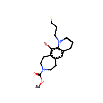 CC(C)(C)OC(=O)N1CCc2cc3c(c(Br)c2CC1)N(CCCF)CCC3